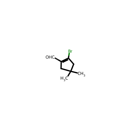 CC1(C)CC(Br)=C(C=O)C1